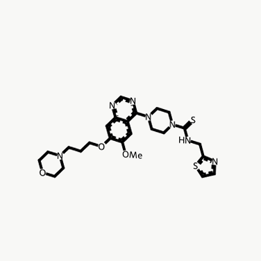 COc1cc2c(N3CCN(C(=S)NCc4nccs4)CC3)ncnc2cc1OCCCN1CCOCC1